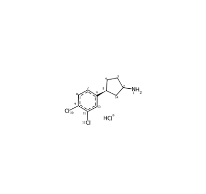 Cl.NC1CC[C@H](c2ccc(Cl)c(Cl)c2)C1